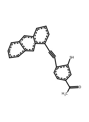 CC(=O)c1ccc(C#Cc2cccc3cc4ccccc4cc23)c(S)c1